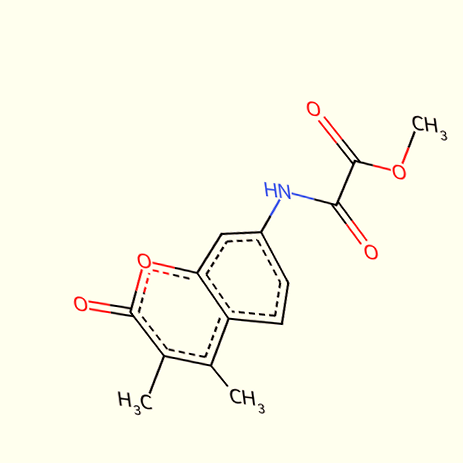 COC(=O)C(=O)Nc1ccc2c(C)c(C)c(=O)oc2c1